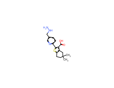 CC1(C)CCc2sc(-c3ccc(CNN)cn3)c(C(=O)O)c2C1